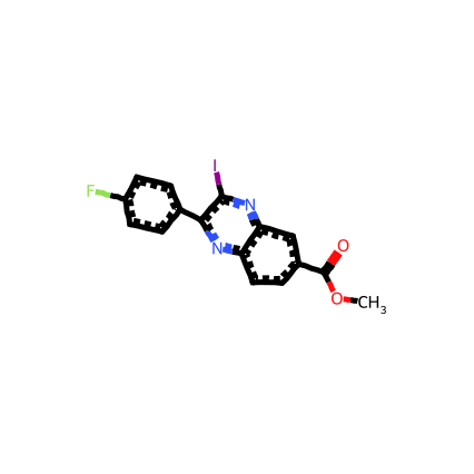 COC(=O)c1ccc2nc(-c3ccc(F)cc3)c(I)nc2c1